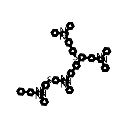 c1ccc(-c2ccc(-c3nc(-c4ccccc4)nc(-c4ccc(Sc5ccc(-c6nc(-c7ccccc7)nc(-c7ccc(-c8ccc(-c9cc(-c%10ccc(-c%11cc(-c%12ccccc%12)nc(-c%12ccccc%12)n%11)cc%10)ccc9Sc9ccc(-c%10ccc(-c%11cc(-c%12ccccc%12)nc(-c%12ccccc%12)n%11)cc%10)cc9)cc8)cc7)n6)cc5)cc4)n3)cc2)cc1